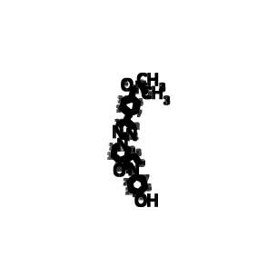 CN(C)C(=O)c1ccc(-c2cnc(N3CCCC4(CCN(C5CCC(O)CC5)C4=O)C3)nc2)cc1